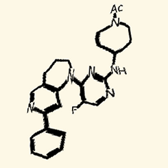 CC(=O)N1CCC(Nc2ncc(F)c(N3CCCc4cnc(-c5ccccc5)cc43)n2)CC1